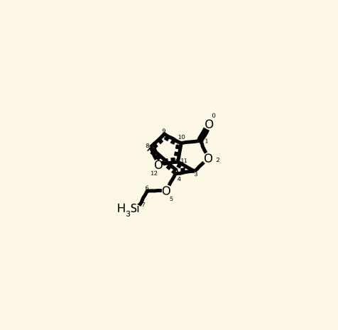 O=C1Oc2c(OC[SiH3])c3cc1c2o3